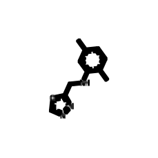 Cc1ccc(C)c(NCc2nnco2)c1